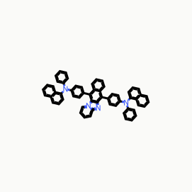 c1ccc(N(c2ccc(-c3c4ccccc4c(-c4ccc(N(c5ccccc5)c5cccc6ccccc56)cc4)c4c3nc3ccccn34)cc2)c2cccc3ccccc23)cc1